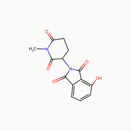 CN1C(=O)CCC(N2C(=O)c3cccc(O)c3C2=O)C1=O